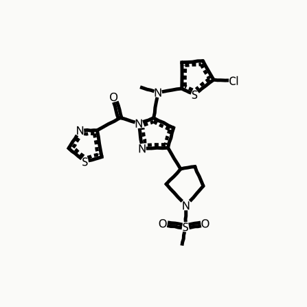 CN(c1ccc(Cl)s1)c1cc(C2CCN(S(C)(=O)=O)C2)nn1C(=O)c1cscn1